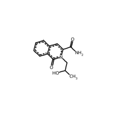 CC(O)Cn1c(C(N)=O)cc2[c]cccc2c1=O